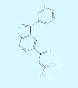 NC(N)=NC(=O)c1ccc2scc(-c3cccnc3)c2c1